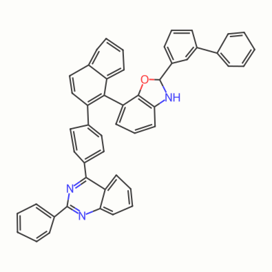 c1ccc(-c2cccc(C3Nc4cccc(-c5c(-c6ccc(-c7nc(-c8ccccc8)nc8ccccc78)cc6)ccc6ccccc56)c4O3)c2)cc1